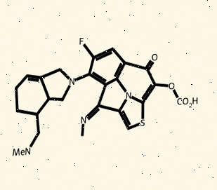 CN=c1c2c(N3CC4=CCCC(CNC)C4C3)c(F)cc3c(=O)c(OC(=O)O)c4scc1n4c32